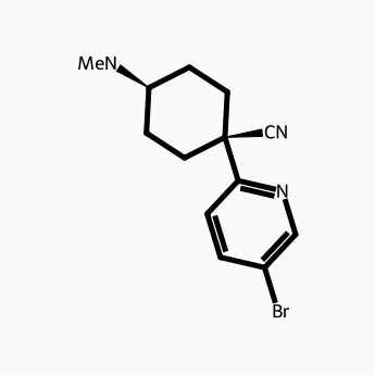 CN[C@H]1CC[C@](C#N)(c2ccc(Br)cn2)CC1